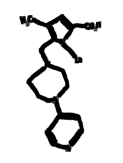 CCn1c(C(=O)O)cc(C)c1CN1CCN(c2ccncc2)CC1